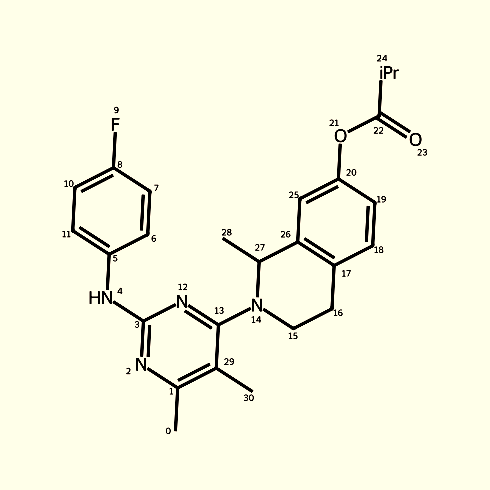 Cc1nc(Nc2ccc(F)cc2)nc(N2CCc3ccc(OC(=O)C(C)C)cc3C2C)c1C